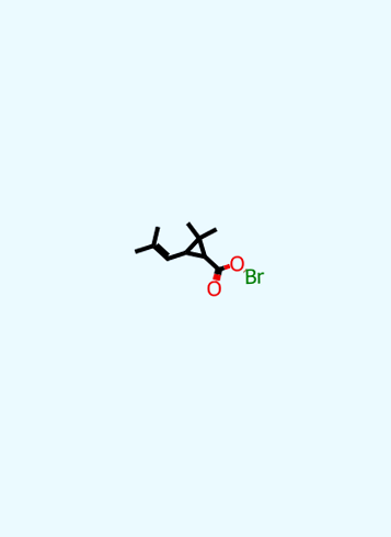 CC(C)=CC1C(C(=O)OBr)C1(C)C